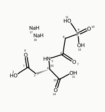 O=C(O)C[C@H](NC(=O)CP(=O)(O)O)C(=O)O.[NaH].[NaH]